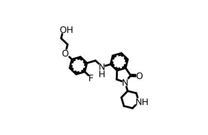 O=C1c2cccc(NCc3cc(OCCO)ccc3F)c2CN1C1CCCNC1